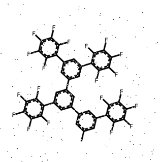 Cc1cc(-c2cc(-c3cc(-c4c(F)c(F)c(F)c(F)c4F)cc(-c4c(F)c(F)c(F)c(F)c4F)c3)cc(-c3c(F)c(F)c(F)c(F)c3F)c2)cc(-c2c(F)c(F)c(F)c(F)c2F)c1